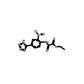 CCOC(=O)C(=O)Nc1ccc(-c2nnn[nH]2)cc1[N+](=O)[O-]